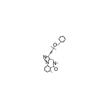 Cc1cccc2c1C(=O)N(C)Cc1c(C#CC(C)(C)OCc3ccccc3)ncn1-2